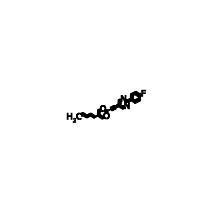 C=CCCC[C@H]1CO[C@H](C#Cc2cnc(-c3ccc(F)cc3)nc2)OC1